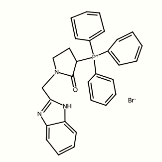 O=C1C([P+](c2ccccc2)(c2ccccc2)c2ccccc2)CCN1Cc1nc2ccccc2[nH]1.[Br-]